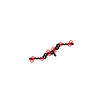 C=CC[C@H]1C[C@@H](OC(=O)c2ccc3cc(OCCCCCCOC(=O)C=C)ccc3c2)CC[C@@H]1OC(=O)c1ccc2cc(OCCCCCCOC(=O)C=C)ccc2c1